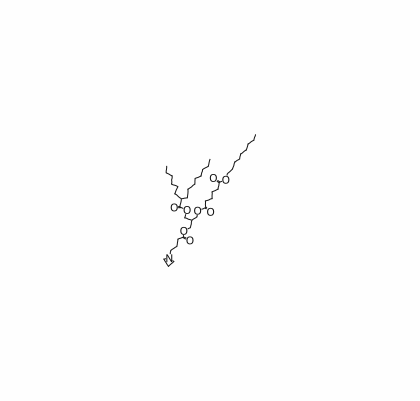 CCCCCCCCCOC(=O)CCCCC(=O)OCC(COC(=O)CCCN1CCC1)COC(=O)C(CCCCCC)CCCCCCCC